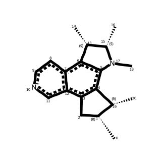 C[C@@H]1Cc2c(c3c(c4ccncc24)[C@H](C)[C@H](C)N3C)[C@@H]1C